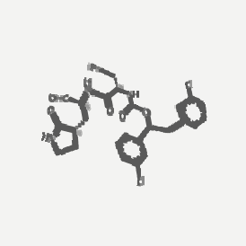 CC(C)C[C@H](NC(=O)OC(Cc1cccc(Cl)c1)c1cccc(Cl)c1)C(=O)N[C@H](C=O)C[C@@H]1CCNC1=O